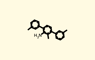 Cc1cccc(-c2ccc(-c3cccc(C)c3)c(N)c2C)c1